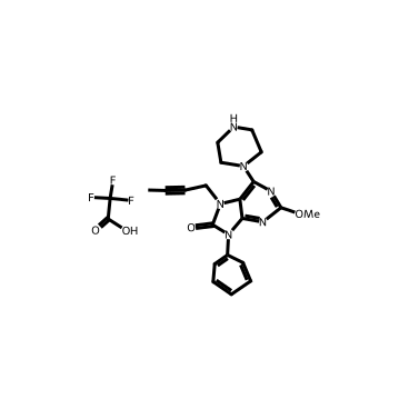 CC#CCn1c(=O)n(-c2ccccc2)c2nc(OC)nc(N3CCNCC3)c21.O=C(O)C(F)(F)F